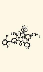 C[C@@H]1C[C@H](NC(=O)OC(C)(C)C)CN(c2ccncc2NC(=O)c2c(NC(=O)OC(C)(C)C)oc3cc(-c4c(F)cccc4F)cnc23)C1